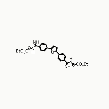 CCOC(=O)ONC(=N)c1ccc(-c2ccc(-c3ccc(C(=N)NOC(=O)OCC)cc3)o2)cc1